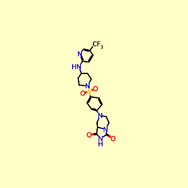 O=C1NC(=O)N2CCN(c3ccc(S(=O)(=O)N4CCC(Nc5ccc(C(F)(F)F)cn5)CC4)cc3)CC12